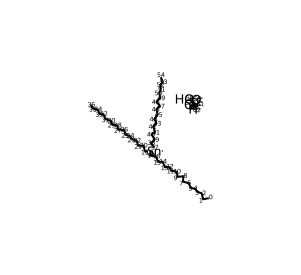 CCCCCCCCCCCCCCCCC[CH2][Sn]([CH2]CCCCCCCCCCCCCCCCC)[CH2]CCCCCCCCCCCCCCCCC.O=S(=O)(O)C(F)(F)F